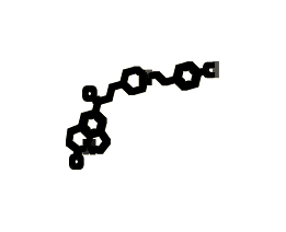 O=C(CCC1CCN(CCc2ccc(Cl)cc2)CC1)c1cc2c3c(c1)CCN3C(=O)CC2